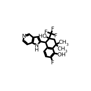 CC1(C)CC(O)(C(F)(F)F)C(c2cc3cnccc3[nH]2)c2ccc(F)c(O)c21